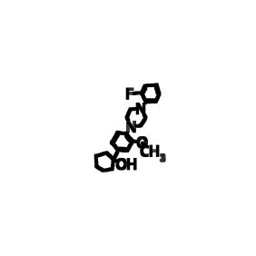 COc1cc(C2(O)CCCCC2)ccc1N1CCN(c2ccccc2F)CC1